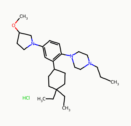 CCCN1CCN(c2ccc(N3CCC(OC)C3)cc2C2CCC(CC)(CC)CC2)CC1.Cl